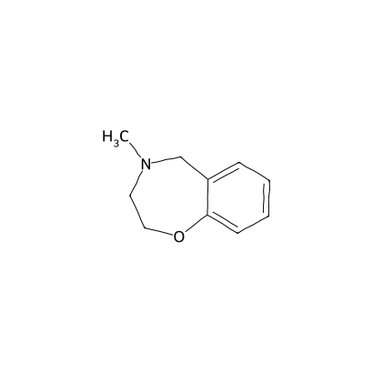 CN1CCOc2ccccc2C1